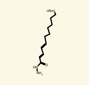 CCCCCCCCCCCCCCCC=CC=CC(=O)NN